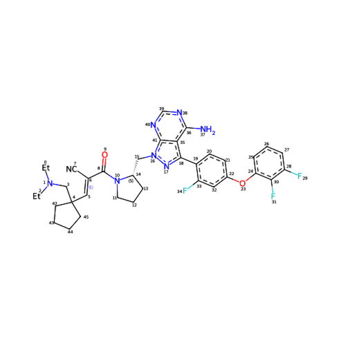 CCN(CC)CC1(/C=C(\C#N)C(=O)N2CCC[C@H]2Cn2nc(-c3ccc(Oc4cccc(F)c4F)cc3F)c3c(N)ncnc32)CCCC1